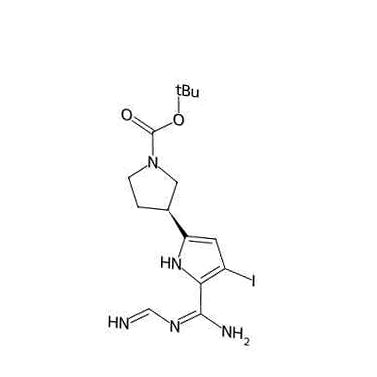 CC(C)(C)OC(=O)N1CC[C@H](c2cc(I)c(/C(N)=N\C=N)[nH]2)C1